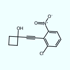 O=[N+]([O-])c1cccc(Cl)c1C#CC1(O)CCC1